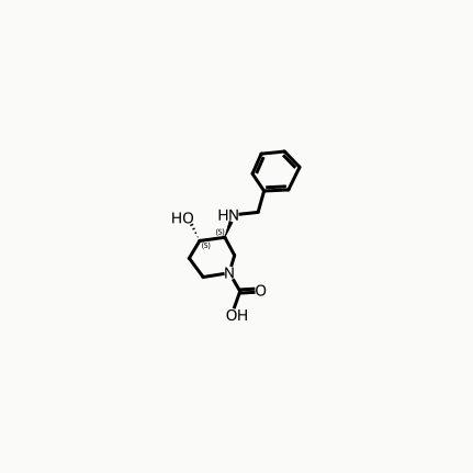 O=C(O)N1CC[C@H](O)[C@@H](NCc2ccccc2)C1